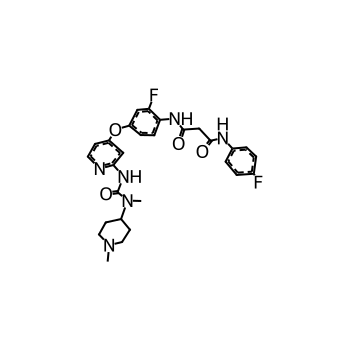 CN1CCC(N(C)C(=O)Nc2cc(Oc3ccc(NC(=O)CC(=O)Nc4ccc(F)cc4)c(F)c3)ccn2)CC1